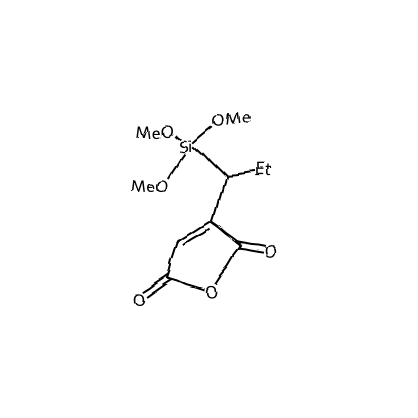 CCC(C1=CC(=O)OC1=O)[Si](OC)(OC)OC